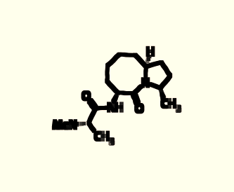 CN[C@@H](C)C(=O)N[C@H]1CCCC[C@H]2CC[C@@H](C)N2C1=O